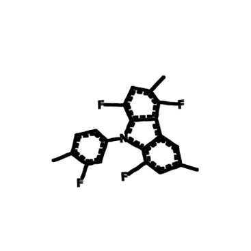 Cc1cc(F)c2c(c1)c1c(F)c(C)cc(F)c1n2-c1ccc(C)c(F)c1